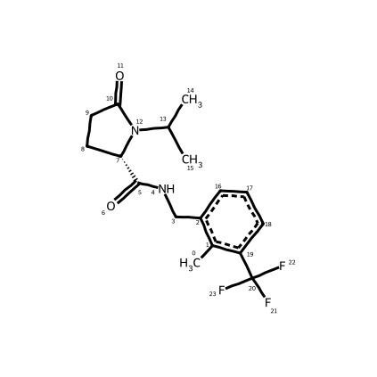 Cc1c(CNC(=O)[C@@H]2CCC(=O)N2C(C)C)cccc1C(F)(F)F